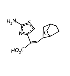 Nc1nc(C(=CC2CC3CCC2O3)C(=O)O)cs1